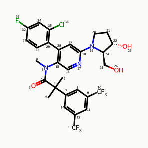 CN(C(=O)C(C)(C)c1cc(C(F)(F)F)cc(C(F)(F)F)c1)c1cnc(N2CC[C@H](O)[C@H]2CO)cc1-c1ccc(F)cc1Cl